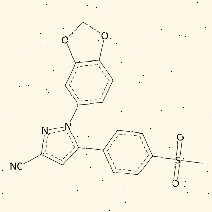 CS(=O)(=O)c1ccc(-c2cc(C#N)nn2-c2ccc3c(c2)OCO3)cc1